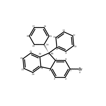 Brc1ccc2c(c1)[C@@](c1ccccc1)(C1C=CC=CC1)c1ccccc1-2